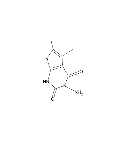 Cc1sc2[nH]c(=O)n(N)c(=O)c2c1C